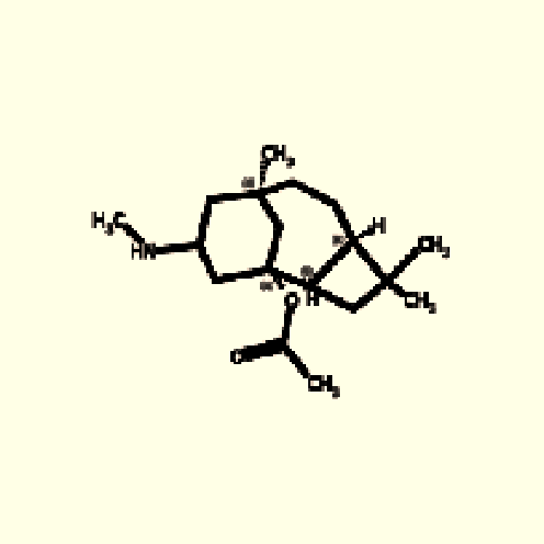 CNC1C[C@@]2(C)CC[C@@H]3[C@H](CC3(C)C)[C@@](OC(C)=O)(C1)C2